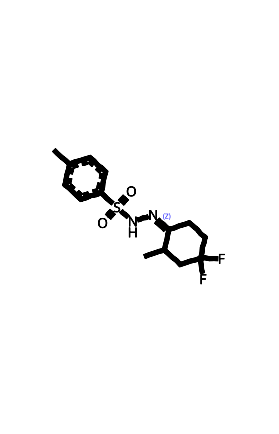 Cc1ccc(S(=O)(=O)N/N=C2/CCC(F)(F)CC2C)cc1